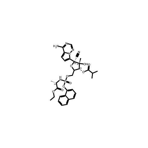 CCOC(=O)[C@H](C)NP(=O)(OCC1O[C@@](C#N)(c2ccc3c(N)ncnn23)[C@](C)(O)[C@@H]1OC(=O)C(C)C)Oc1cccc2ccccc12